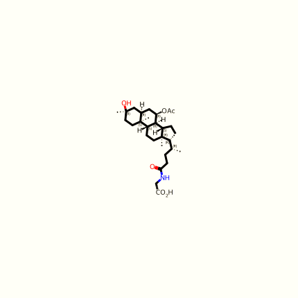 CC(=O)O[C@@H]1C[C@@H]2C[C@](C)(O)CC[C@]2(C)[C@H]2CC[C@]3(C)[C@@H]([C@H](C)CCC(=O)NCC(=O)O)CC[C@H]3[C@H]12